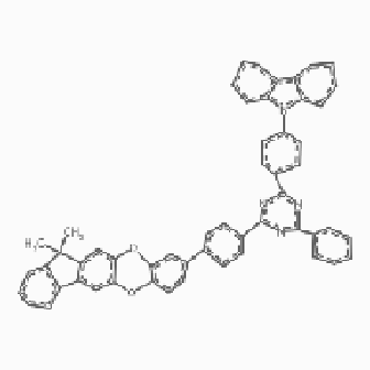 CC1(C)c2ccccc2-c2cc3c(cc21)Oc1cc(-c2ccc(-c4nc(-c5ccccc5)nc(-c5ccc(-n6c7ccccc7c7ccccc76)cc5)n4)cc2)ccc1O3